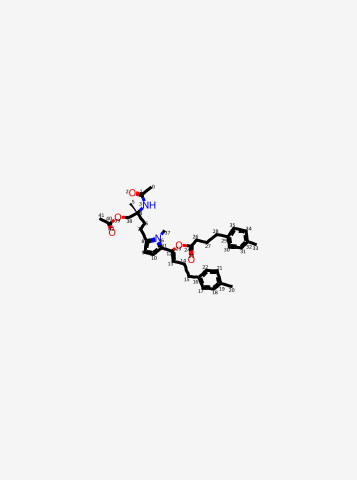 CC(=O)N[C@](C)(CCc1ccc(C(=CCCc2ccc(C)cc2)OC(=O)CCCc2ccc(C)cc2)n1C)COC(C)=O